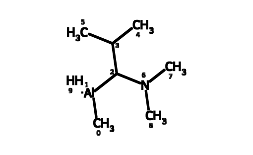 [CH3][Al][CH](C(C)C)N(C)C.[HH]